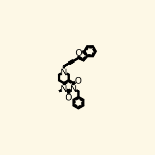 Cn1c2c(c(=O)n(Cc3ccccc3)c1=O)CN(CC#Cc1cc3ccccc3o1)CC2